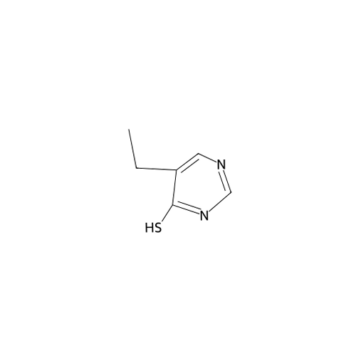 CCc1cncnc1S